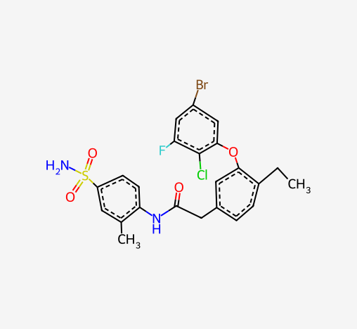 CCc1ccc(CC(=O)Nc2ccc(S(N)(=O)=O)cc2C)cc1Oc1cc(Br)cc(F)c1Cl